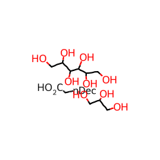 CCCCCCCCCCCC(=O)O.OCC(O)C(O)C(O)C(O)CO.OCC(O)CO